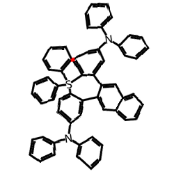 c1ccc(N(c2ccccc2)c2ccc3c(c2)-c2cc4ccccc4cc2-c2cc(N(c4ccccc4)c4ccccc4)ccc2S3(c2ccccc2)c2ccccc2)cc1